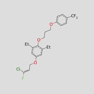 CCc1cc(OCC=C(F)Cl)cc(CC)c1OCCCOc1ccc(C(F)(F)F)cc1